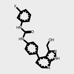 O=C(Nc1ccc(-c2ccnc3[nH]nc(CO)c23)cc1)Nc1cccc(F)c1